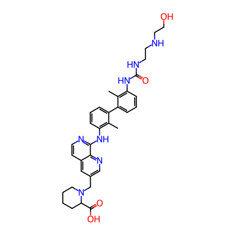 Cc1c(NC(=O)NCCNCCO)cccc1-c1cccc(Nc2nccc3cc(CN4CCCCC4C(=O)O)cnc23)c1C